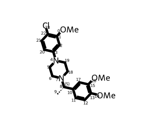 COc1cc(N2CCN([C@@H](C)c3ccc(OC)c(OC)c3)CC2)ccc1Cl